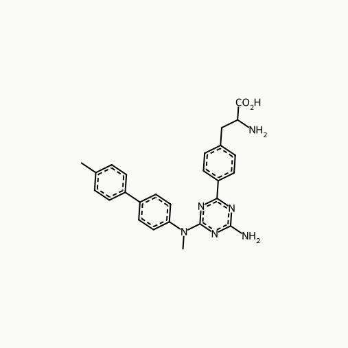 Cc1ccc(-c2ccc(N(C)c3nc(N)nc(-c4ccc(CC(N)C(=O)O)cc4)n3)cc2)cc1